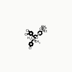 CCN(C1CCN(CCC(C)(C(=O)N(C)Cc2ccc(Cl)cc2)c2ccc(Cl)c(Cl)c2)CC1)S(C)(=O)=O